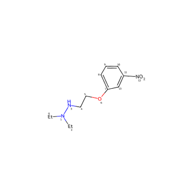 CCN(CC)NCCOc1cccc([N+](=O)[O-])c1